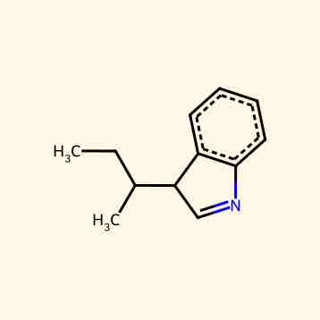 CCC(C)C1C=Nc2ccccc21